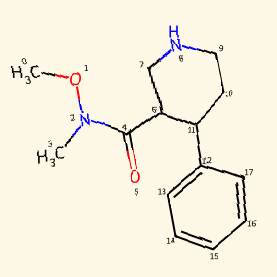 CON(C)C(=O)C1CNCCC1c1ccccc1